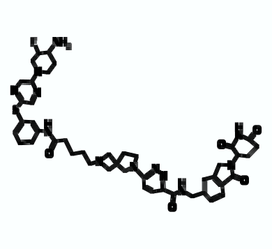 NC1CCN(c2cnc(Sc3cccc(NC(=O)CCCCN4CC5(CCN(c6ccc(C(=O)NCc7ccc8c(c7)CN(C7CCC(=O)NC7=O)C8=O)nn6)C5)C4)c3)cn2)CC1F